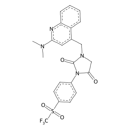 CN(C)c1cc(CN2CC(=O)N(c3ccc(S(=O)(=O)C(F)(F)F)cc3)C2=O)c2ccccc2n1